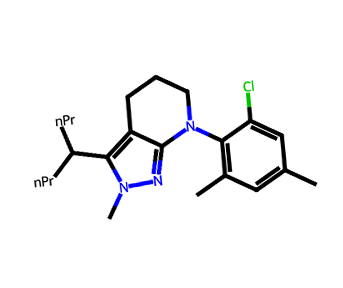 CCCC(CCC)c1c2c(nn1C)N(c1c(C)cc(C)cc1Cl)CCC2